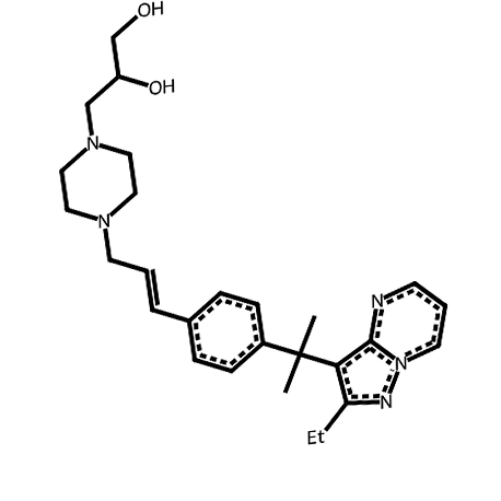 CCc1nn2cccnc2c1C(C)(C)c1ccc(C=CCN2CCN(CC(O)CO)CC2)cc1